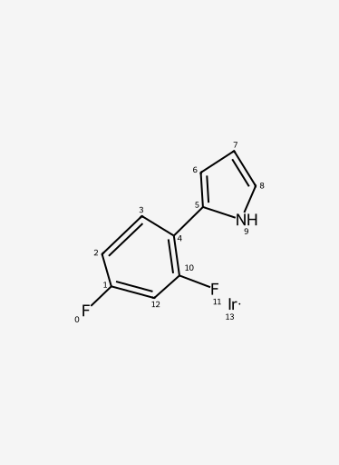 Fc1ccc(-c2ccc[nH]2)c(F)c1.[Ir]